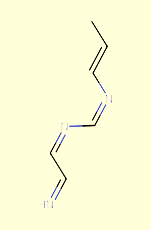 C/C=C/N=C\N=C/C=N